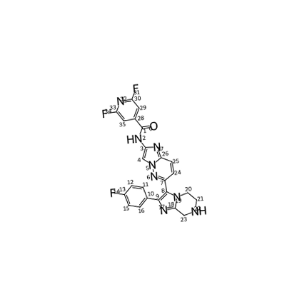 O=C(Nc1cn2nc(-c3c(-c4ccc(F)cc4)nc4n3CCNC4)ccc2n1)c1cc(F)nc(F)c1